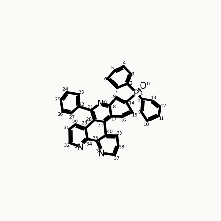 O=P(c1ccccc1)(c1ccccc1)c1ccc2c(c1)nc(-c1ccccc1)c1c3cccnc3c3ncccc3c21